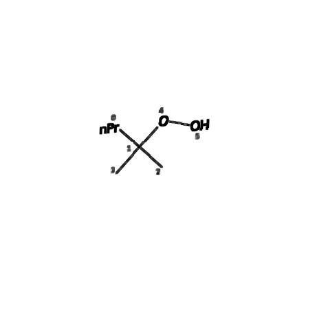 CCCC(C)(C)OO